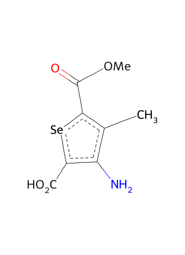 COC(=O)c1[se]c(C(=O)O)c(N)c1C